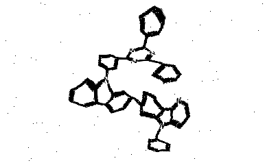 c1ccc(-c2nc(-c3ccccc3)nc(-c3cccc(-n4c5ccccc5c5ccc(-c6ccc7c8ncccc8n(-c8ccccc8)c7c6)cc54)c3)n2)cc1